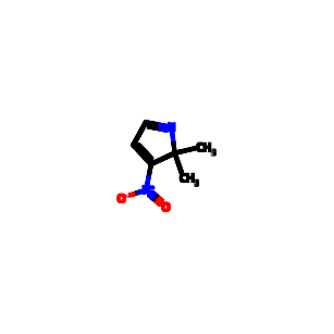 CC1(C)N=CC=C1[N+](=O)[O-]